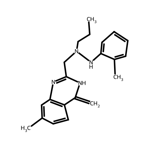 C=C1NC(CN(CCC)Nc2ccccc2C)=Nc2cc(C)ccc21